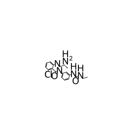 CCNC(=O)Nc1cccc(-n2c([C@H](C)N)nc3cccc(Cl)c3c2=O)c1